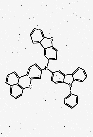 c1ccc(-n2c3ccccc3c3cc(N(c4ccc5c(c4)Oc4cccc6cccc-5c46)c4ccc5sc6ccccc6c5c4)ccc32)cc1